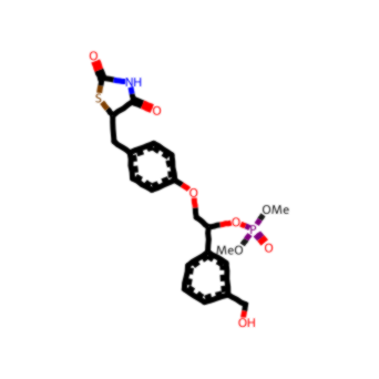 COP(=O)(OC)OC(COc1ccc(CC2SC(=O)NC2=O)cc1)c1cccc(CO)c1